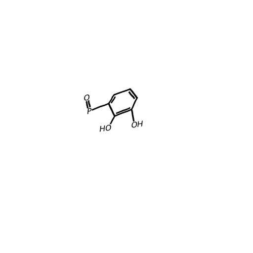 O=Pc1cccc(O)c1O